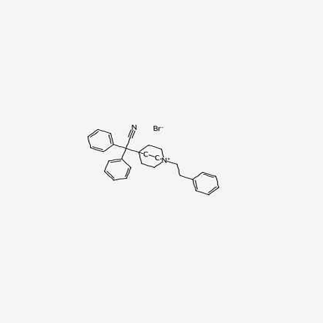 N#CC(c1ccccc1)(c1ccccc1)C12CC[N+](CCc3ccccc3)(CC1)CC2.[Br-]